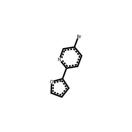 Brc1ccc(-c2ccco2)nc1